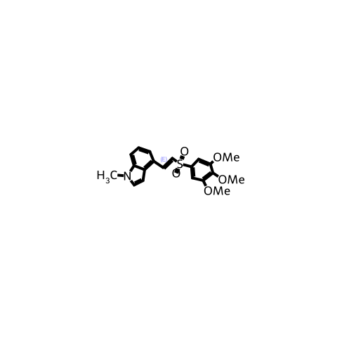 COc1cc(S(=O)(=O)/C=C/c2cccc3c2ccn3C)cc(OC)c1OC